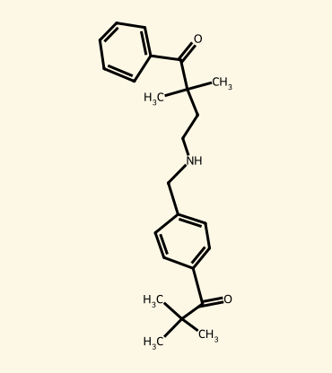 CC(C)(C)C(=O)c1ccc(CNCCC(C)(C)C(=O)c2ccccc2)cc1